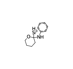 [SiH3]C1(Nc2ccccc2)CCCCO1